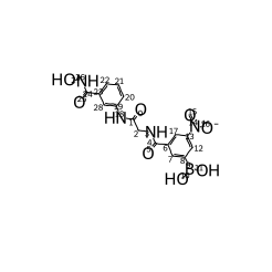 O=C(CNC(=O)c1cc(B(O)O)cc([N+](=O)[O-])c1)Nc1cccc(C(=O)NO)c1